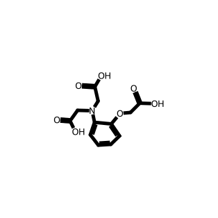 O=C(O)COc1ccccc1N(CC(=O)O)CC(=O)O